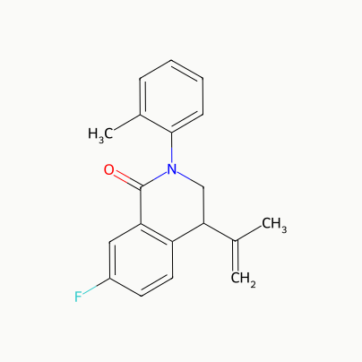 C=C(C)C1CN(c2ccccc2C)C(=O)c2cc(F)ccc21